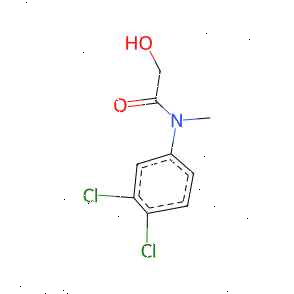 CN(C(=O)CO)c1ccc(Cl)c(Cl)c1